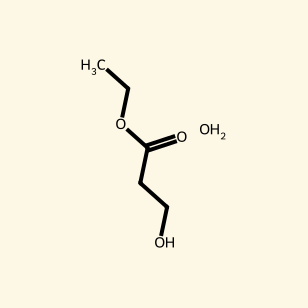 CCOC(=O)CCO.O